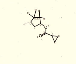 C[C@H]1C[C@H](OC(=O)C2CC2)C(C)(C)C1(C)C